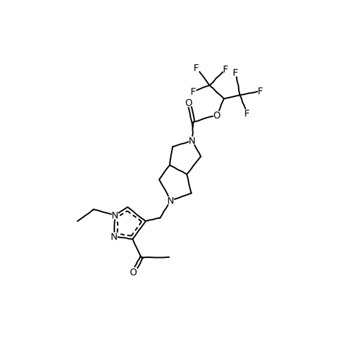 CCn1cc(CN2CC3CN(C(=O)OC(C(F)(F)F)C(F)(F)F)CC3C2)c(C(C)=O)n1